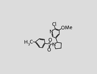 COc1cc(C2CCCN2S(=O)(=O)c2ccc(C)cc2)cnc1Cl